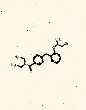 CCN(CC)C(=O)c1ccc(Cc2ccccc2OC(C)CBr)cc1